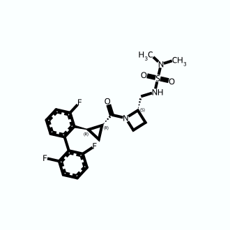 CN(C)S(=O)(=O)NC[C@@H]1CCN1C(=O)[C@@H]1C[C@H]1c1c(F)cccc1-c1c(F)cccc1F